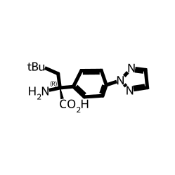 CC(C)(C)C[C@](N)(C(=O)O)c1ccc(-n2nccn2)cc1